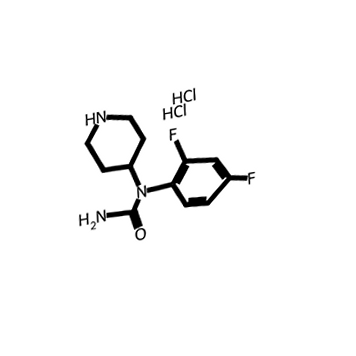 Cl.Cl.NC(=O)N(c1ccc(F)cc1F)C1CCNCC1